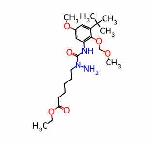 CCOC(=O)CCCCCN(N)C(=O)Nc1cc(OC)cc(C(C)(C)C)c1OCOC